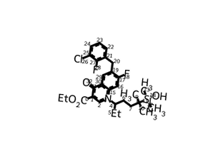 CCOC(=O)c1cn(C(CC)CCC(C)(C)[Si](C)(C)O)c2cc(F)c(Cc3cccc(Cl)c3F)cc2c1=O